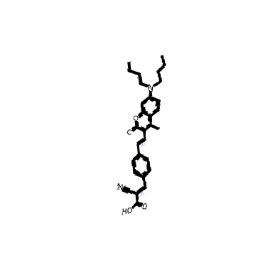 CCCCN(CCCC)c1ccc2c(C)c(/C=C/c3ccc(/C=C(\C#N)C(=O)O)cc3)c(=O)oc2c1